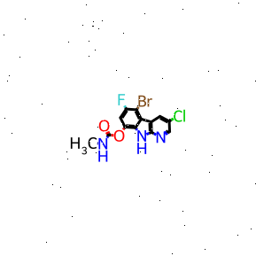 CNC(=O)Oc1cc(F)c(Br)c2c1[nH]c1ncc(Cl)cc12